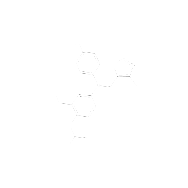 CCOc1cc(N(Cc2ocnc2C)c2ccc(C(=O)O)cc2)ccc1OC(F)F